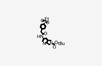 CCS(=O)(=O)c1ccc(CC(=O)Nc2cnc3c(c2)CN(C(=O)OC(C)(C)C)C3)cc1